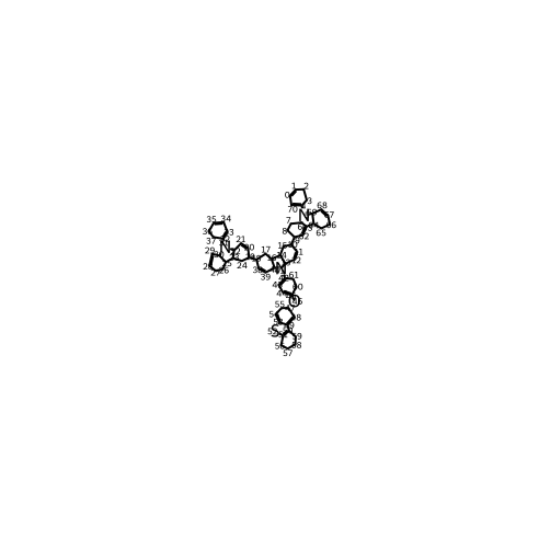 C1=CCCC(N2C3CCC(C4C=CC5C(C4)C4CC(C6C=CC7C(C6)C6CCC=CC6N7C6=CC=CCC6)C=CC4N5C4=CC=C(OC5C=c6c7c(sc6=CC5)CCCC7)CC4)C=C3C3CCC=CC32)=C1